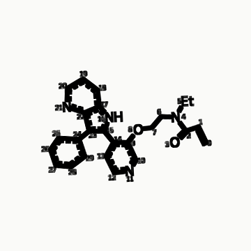 C=CC(=O)N(CC)CCOc1cnccc1-c1[nH]c2cccnc2c1-c1ccccc1